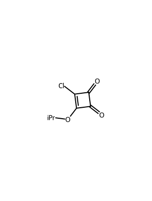 CC(C)Oc1c(Cl)c(=O)c1=O